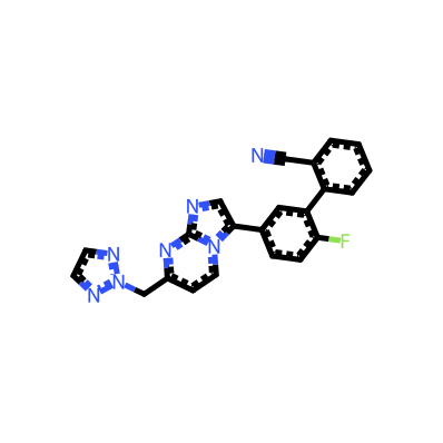 N#Cc1ccccc1-c1cc(-c2cnc3nc(Cn4nccn4)ccn23)ccc1F